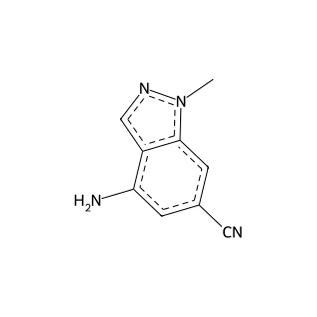 Cn1ncc2c(N)cc(C#N)cc21